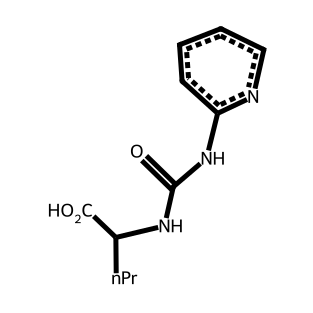 CCCC(NC(=O)Nc1ccccn1)C(=O)O